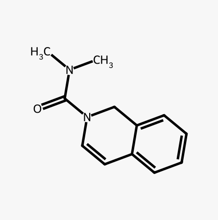 CN(C)C(=O)N1C=Cc2ccccc2C1